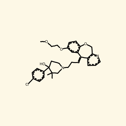 COCCOc1ccc2c(c1)C(=CCCN1CCC(O)(c3ccc(Cl)cc3)C(C)(C)C1)c1cccnc1CO2